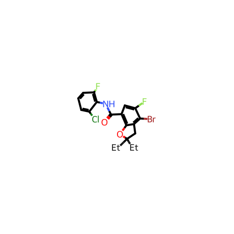 CCC1(CC)Cc2c(Br)c(F)cc(C(=O)Nc3c(F)cccc3Cl)c2O1